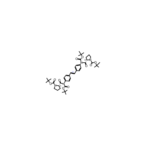 CC(C)(C)OC(=O)N(C(=O)[C@@H]1CCCN1C(=O)OC(C)(C)C)c1ccc(/C=C/c2ccc(N(C(=O)OC(C)(C)C)C(=O)[C@@H]3CCCN3C(=O)OC(C)(C)C)cc2)cc1